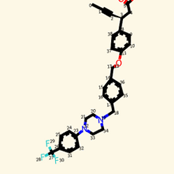 CC#C[C@@H](CC(=O)O)c1ccc(OCc2ccc(CN3CCN(c4ccc(C(F)(F)F)cc4)CC3)cc2)cc1